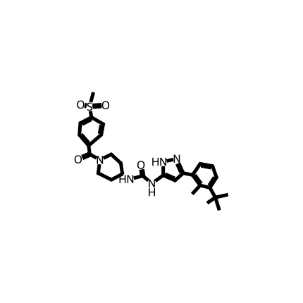 Cc1c(-c2cc(NC(=O)NC3CCN(C(=O)c4ccc(S(C)(=O)=O)cc4)CC3)[nH]n2)cccc1C(C)(C)C